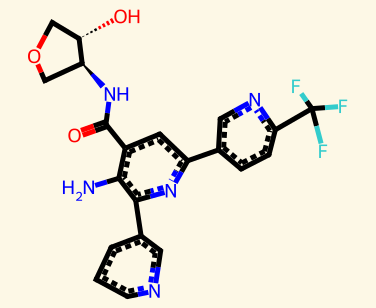 Nc1c(C(=O)N[C@H]2COC[C@@H]2O)cc(-c2ccc(C(F)(F)F)nc2)nc1-c1cccnc1